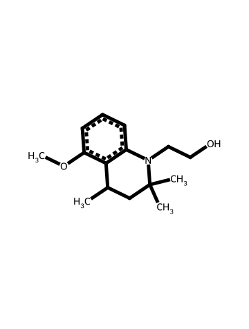 COc1cccc2c1C(C)CC(C)(C)N2CCO